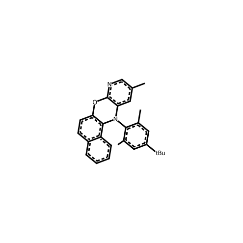 Cc1cnc2c(c1)N(c1c(C)cc(C(C)(C)C)cc1C)c1c(ccc3ccccc13)O2